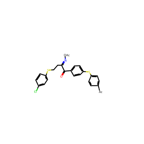 CC(=O)O/N=C(\CCSc1ccc(Cl)cc1)C(=O)c1ccc(Sc2ccc(C(C)=O)cc2)cc1